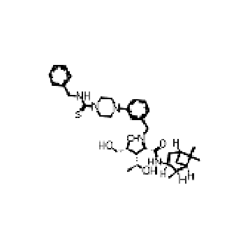 C[C@@H]1[C@@H](NC(=O)[C@@H]2[C@H]([C@H](C)O)[C@H](CO)ON2Cc2cccc(N3CCN(C(=S)NCc4ccccc4)CC3)c2)C[C@H]2C[C@@H]1C2(C)C